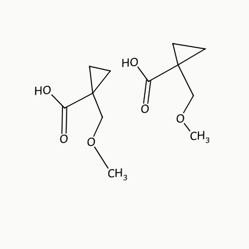 COCC1(C(=O)O)CC1.COCC1(C(=O)O)CC1